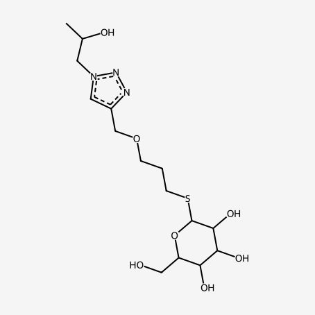 CC(O)Cn1cc(COCCCSC2OC(CO)C(O)C(O)C2O)nn1